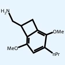 CCCc1cc(OC)c2c(c1OC)CC2CN